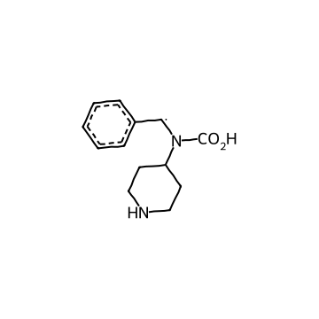 O=C(O)N([CH]c1ccccc1)C1CCNCC1